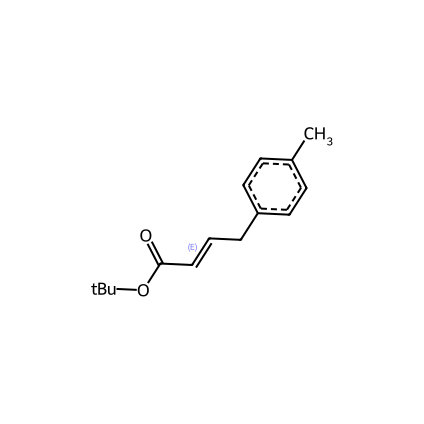 Cc1ccc(C/C=C/C(=O)OC(C)(C)C)cc1